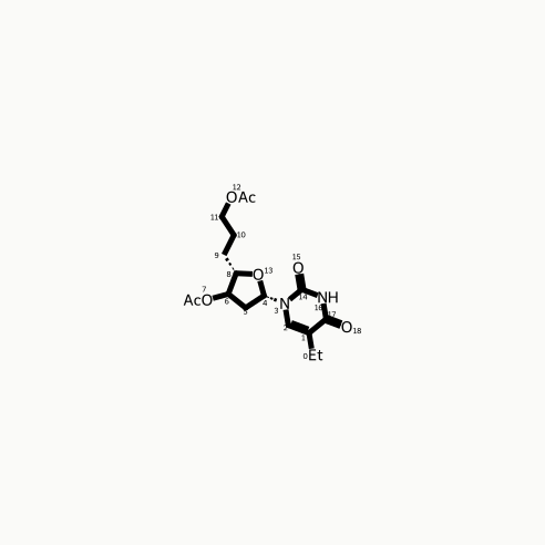 CCc1cn([C@@H]2CC(OC(C)=O)[C@H](CCCOC(C)=O)O2)c(=O)[nH]c1=O